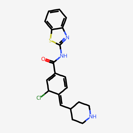 O=C(Nc1nc2ccccc2s1)C1=CC(Cl)C(=CC2CCNCC2)C=C1